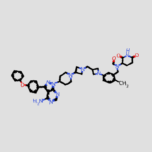 Cc1ccc(N2CC(CN3CC(N4CCC(n5nc(-c6ccc(Oc7ccccc7)cc6)c6c(N)ncnc65)CC4)C3)C2)cc1CN(C=O)C1CCC(=O)NC1=O